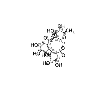 C[C@H]1OC2COC(=O)c3cc(O)c(O)c(O)c3-c3c(cc(O)c(O)c3O)C(=O)O[C@H]2[C@H](O)C1O